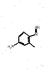 Cc1cc(N)ccc1N=N